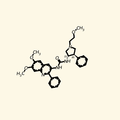 COCCN1C[C@@H](NC(=O)Nc2cc3cc(OC)c(OC)cc3nc2-c2ccccc2)[C@H](c2ccccc2)C1